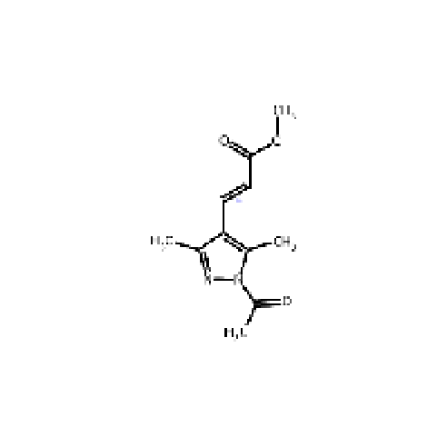 COC(=O)/C=C/c1c(C)nn(C(C)=O)c1C